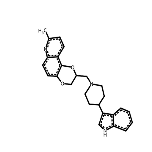 Cc1ccc2c3c(ccc2n1)OCC(CN1CCC(c2c[nH]c4ccccc24)CC1)O3